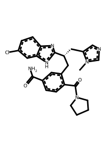 Cn1cncc1C[C@H](Cc1cc(C(N)=O)ccc1C(=O)N1CCCC1)c1nc2ccc(Cl)cc2[nH]1